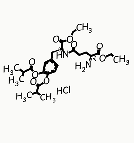 CCOC(=O)[C@H](Cc1ccc(OC(=O)C(C)C)c(OC(=O)C(C)C)c1)NC(=O)CC[C@H](N)C(=O)OCC.Cl